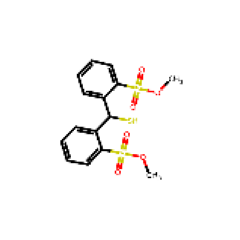 COS(=O)(=O)c1ccccc1C(S)c1ccccc1S(=O)(=O)OC